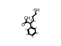 CC(=O)C(CCCS)c1ccccc1